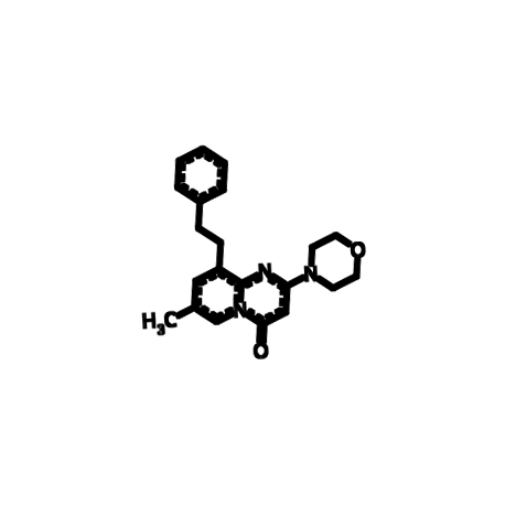 Cc1cc(CCc2ccccc2)c2nc(N3CCOCC3)cc(=O)n2c1